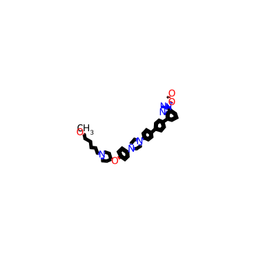 COCCCCCCN1CCC(Oc2ccc(N3CCN(c4ccc(-c5ccc(-c6cccc7c6nnn7OC=O)cc5)cc4)CC3)cc2)CC1